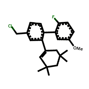 COc1ccc(F)c(-c2ccc(CCl)cc2C2=CC(C)(C)CC(C)(C)C2)c1